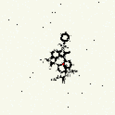 COc1ccc(-c2c(Br)n(S(=O)(=O)c3ccccc3)c3ncc4c(c23)n(C2CCC(C)(NC(=O)OC(C)(C)C)CC2)c(=O)n4C)cc1